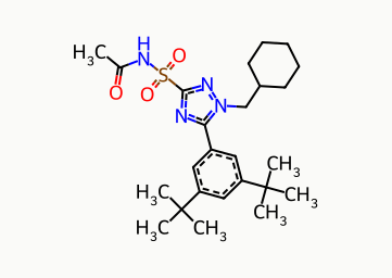 CC(=O)NS(=O)(=O)c1nc(-c2cc(C(C)(C)C)cc(C(C)(C)C)c2)n(CC2CCCCC2)n1